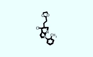 Cc1ccccc1-n1ccc2c(Cl)c(CCC3OCCO3)cnc21